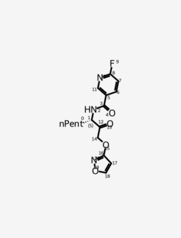 CCCCC[C@H](NC(=O)c1ccc(F)nc1)C(=O)COc1ccon1